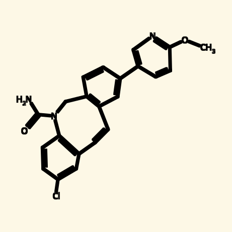 COc1ccc(-c2ccc3c(c2)C=Cc2cc(Cl)ccc2N(C(N)=O)C3)cn1